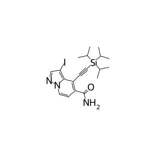 CC(C)[Si](C#Cc1c(C(N)=O)ccn2ncc(I)c12)(C(C)C)C(C)C